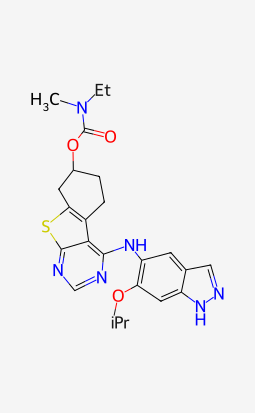 CCN(C)C(=O)OC1CCc2c(sc3ncnc(Nc4cc5cn[nH]c5cc4OC(C)C)c23)C1